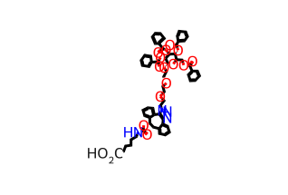 O=C(O)CCCCCNC(=O)OC1Cc2ccccc2-c2nnn(CCOCCOCCO[C@H]3OC(COC(=O)c4ccccc4)[C@@H](OC(=O)c4ccccc4)C(OC(=O)c4ccccc4)C3OC(=O)c3ccccc3)c2-c2ccccc21